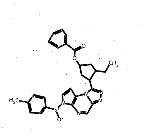 CCC1CC(OC(=O)c2ccccc2)CC1c1nnc2cnc3c(ccn3[S+]([O-])c3ccc(C)cc3)n12